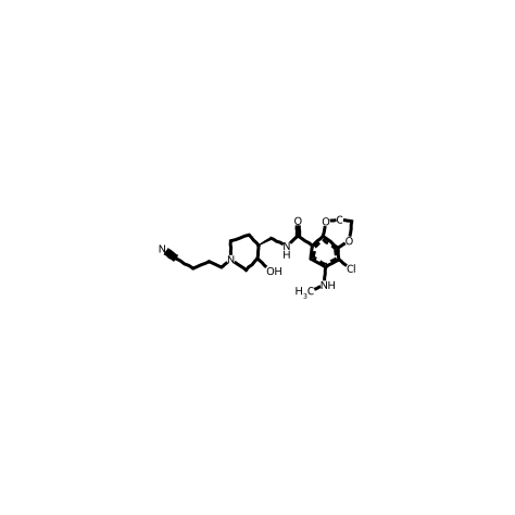 CNc1cc(C(=O)NC[C@@H]2CCN(CCCC#N)CC2O)c2c(c1Cl)OCCO2